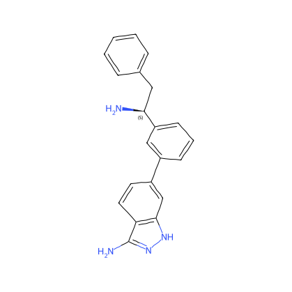 Nc1n[nH]c2cc(-c3cccc([C@@H](N)Cc4ccccc4)c3)ccc12